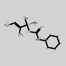 C/C=C(\C)[C@@](O)(OC(=O)NC1CCCCC1)C(C)(C)C